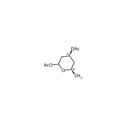 CC(=O)OC1C[C@@H](OC(C)=O)C[C@@H](C)O1